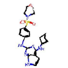 O=S(=O)(c1ccc(Nc2nc(NC3CCC3)c3cc[nH]c3n2)cc1)N1CCOCC1